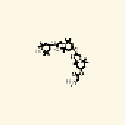 CC1(C)CC(OC(=O)CN2C(C)(C)CC(OC(=O)CN3C(C)(C)CC(OC(=O)CN)CC3(C)C)CC2(C)C)CC(C)(C)N1